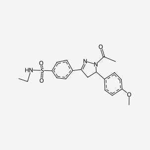 CCNS(=O)(=O)c1ccc(C2=NN(C(C)=O)C(c3ccc(OC)cc3)C2)cc1